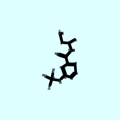 CC(CO)NC(=O)c1cccc(OC(F)(F)F)c1